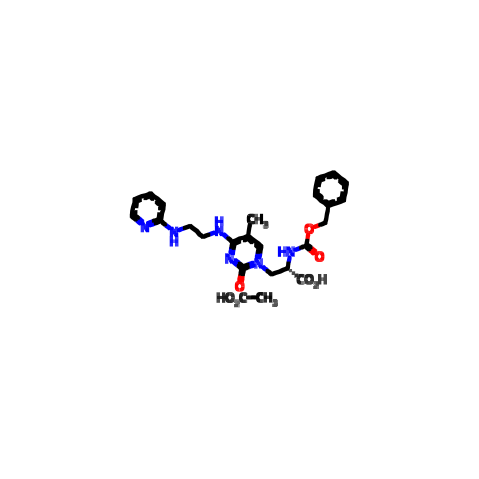 CC(=O)O.Cc1cn(C[C@H](NC(=O)OCc2ccccc2)C(=O)O)c(=O)nc1NCCNc1ccccn1